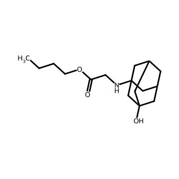 CCCCOC(=O)CNC12CC3CC(CC(O)(C3)C1)C2